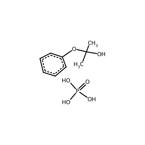 CC(C)(O)Oc1ccccc1.O=P(O)(O)O